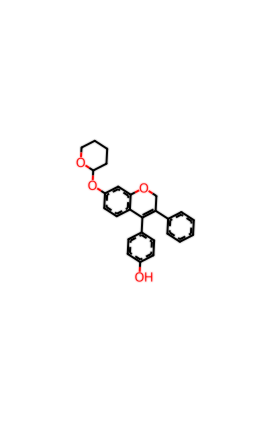 Oc1ccc(C2=C(c3ccccc3)COc3cc(OC4CCCCO4)ccc32)cc1